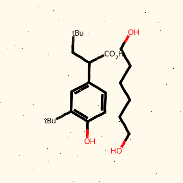 CC(C)(C)CC(C(=O)O)c1ccc(O)c(C(C)(C)C)c1.OCCCCCCO